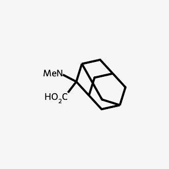 CNC1(C(=O)O)C2CC3CC(C2)CC1C3